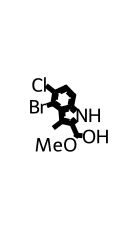 COC(O)c1[nH]c2ccc(Cl)c(Br)c2c1C